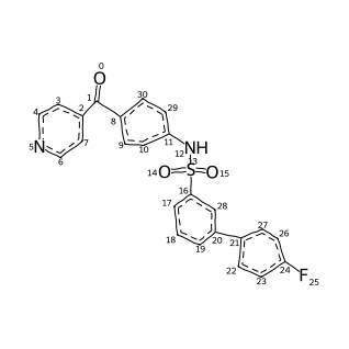 O=C(c1ccncc1)c1ccc(NS(=O)(=O)c2cccc(-c3ccc(F)cc3)c2)cc1